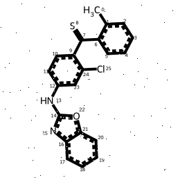 Cc1ccccc1C(=S)c1ccc(Nc2nc3ccccc3o2)cc1Cl